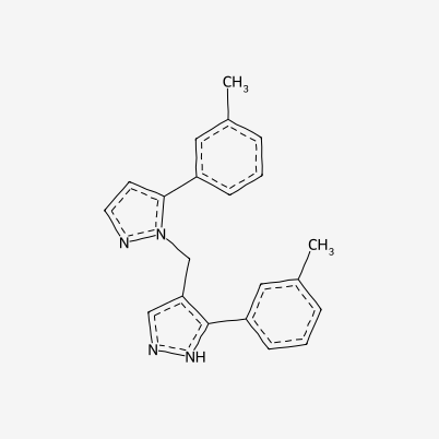 Cc1cccc(-c2[nH]ncc2Cn2nccc2-c2cccc(C)c2)c1